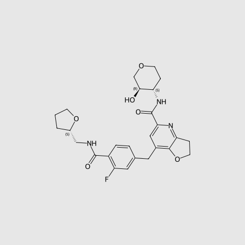 O=C(N[C@H]1CCOC[C@@H]1O)c1cc(Cc2ccc(C(=O)NC[C@@H]3CCCO3)c(F)c2)c2c(n1)CCO2